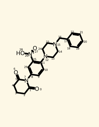 O=C1CCCC(=O)N1c1ccc(N2CCN(Cc3ccccc3)CC2)c([N+](=O)O)c1